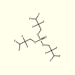 O=P(OCC(F)(F)C(F)F)(OCC(F)(F)C(F)F)OCC(F)(F)C(F)F